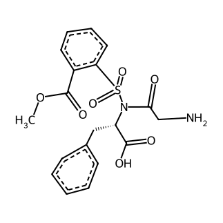 COC(=O)c1ccccc1S(=O)(=O)N(C(=O)CN)[C@@H](Cc1ccccc1)C(=O)O